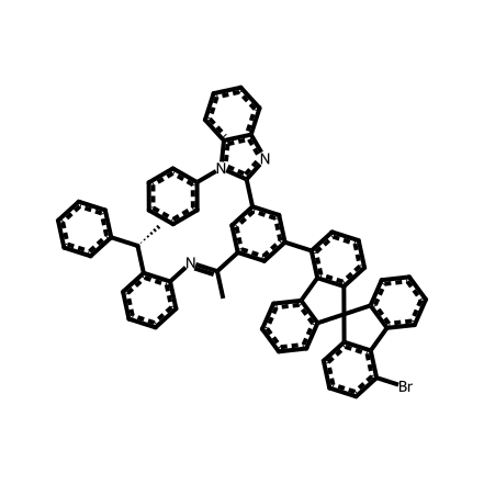 C/C(=N\c1ccccc1[C@@H](C)c1ccccc1)c1cc(-c2cccc3c2-c2ccccc2C32c3ccccc3-c3c(Br)cccc32)cc(-c2nc3ccccc3n2-c2ccccc2)c1